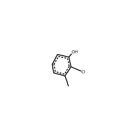 Cc1cc[c]c(O)c1Cl